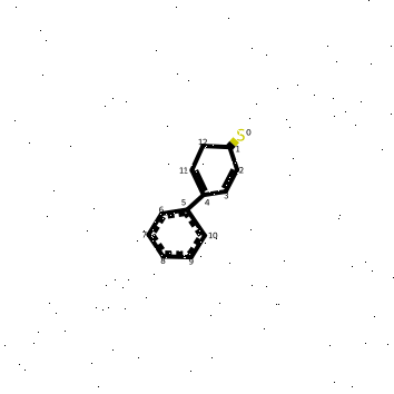 S=C1[C]=CC(c2ccccc2)=CC1